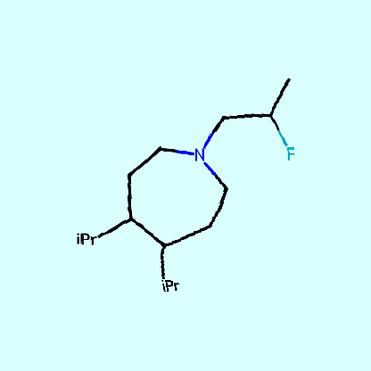 CC(F)CN1CCC(C(C)C)C(C(C)C)CC1